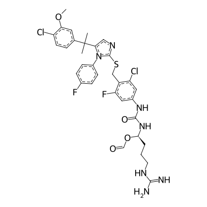 COc1cc(C(C)(C)c2cnc(SCc3c(F)cc(NC(=O)N[C@@H](CCCNC(=N)N)OC=O)cc3Cl)n2-c2ccc(F)cc2)ccc1Cl